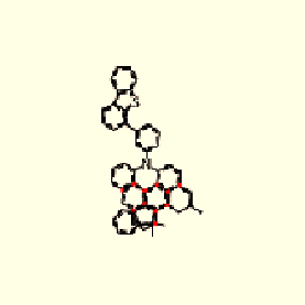 CC1C=CC=C(c2cccc3cccc(-c4ccccc4N(c4cccc(-c5cccc6c5sc5ccccc56)c4)c4ccccc4-c4cccc5c4-c4ccccc4C5(C)C)c23)C1